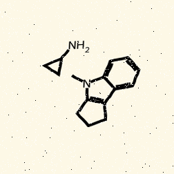 Cn1c2c(c3ccccc31)CCC2.NC1CC1